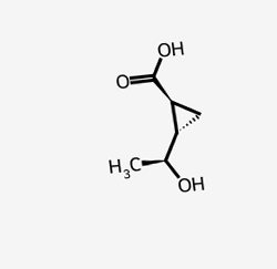 C[C@H](O)[C@H]1C[C@@H]1C(=O)O